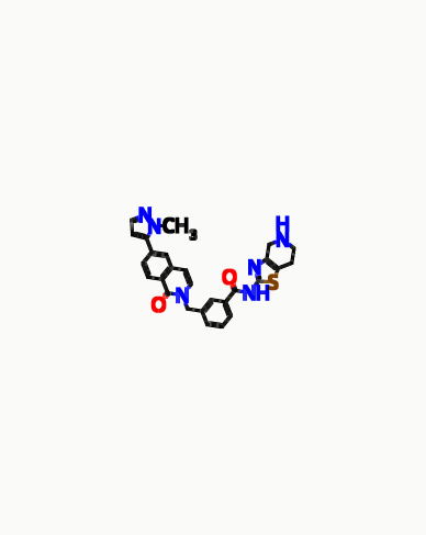 Cn1nccc1-c1ccc2c(=O)n(Cc3cccc(C(=O)Nc4nc5c(s4)CCNC5)c3)ccc2c1